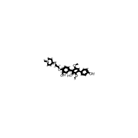 COc1cc(-c2ccc(O)cc2)c(OC)c(O)c1-c1ccc(OC/C=N/C2CCN(C)CC2)c(O)c1